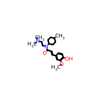 COc1cc(C=CC(=O)N(CCN(C)C)C2CCC(C)CC2)ccc1O